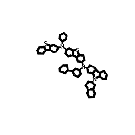 c1ccc(-c2cccc(N(c3ccc4sc5cc(N(c6ccccc6)c6ccc7c(c6)sc6ccccc67)ccc5c4c3)c3ccc4c5ccccc5n(-c5ccc6ccccc6c5)c4c3)c2)cc1